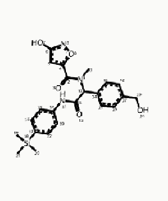 CN(C(=O)c1cc(O)no1)C(C(=O)Nc1ccc([Si](C)(C)C)cc1)c1ccc(CO)cc1